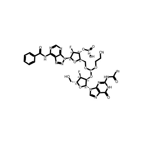 CC(C)C(=O)Nc1nc2c(ncn2[C@@H]2O[C@H](CO)[C@@H](F)[C@H]2OP(OCCC#N)OC[C@H]2O[C@@H](n3nnc4c(NC(=O)c5ccccc5)ncnc43)[C@@H](F)[C@@H]2O[PH](=O)O)c(=O)[nH]1